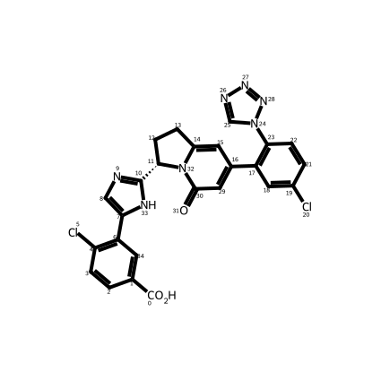 O=C(O)c1ccc(Cl)c(-c2cnc([C@@H]3CCc4cc(-c5cc(Cl)ccc5-n5cnnn5)cc(=O)n43)[nH]2)c1